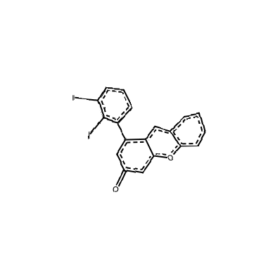 O=c1cc2oc3ccccc3cc-2c(-c2cccc(I)c2I)c1